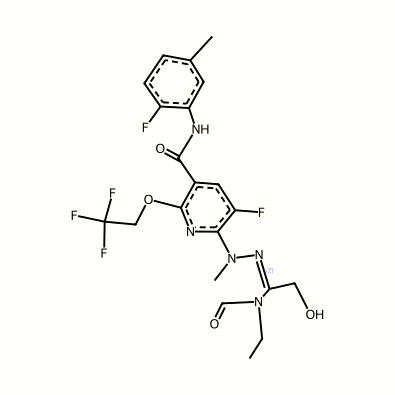 CCN(C=O)/C(CO)=N\N(C)c1nc(OCC(F)(F)F)c(C(=O)Nc2cc(C)ccc2F)cc1F